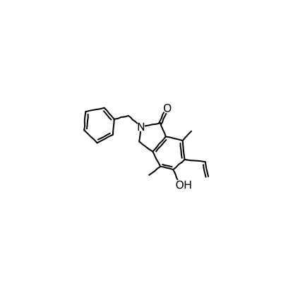 C=Cc1c(C)c2c(c(C)c1O)CN(Cc1ccccc1)C2=O